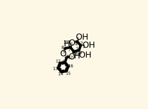 O[C@@H]1[C@@H](O)[C@@H](O)O[C@@H]2COC(c3ccccc3)O[C@@H]12